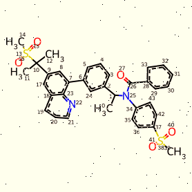 CC(c1cccc(-c2cc(C(C)(C)S(C)(=O)=O)cc3cccnc23)c1)N(C(=O)c1ccccc1)c1ccc(S(C)(=O)=O)cc1